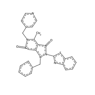 Cc1c2c(=O)n(-c3nc4ccccc4s3)n(Cc3ccccc3)c2cc(=O)n1Cc1ccncc1